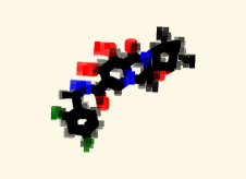 C[C@@H](NC(=O)C1=CN2C[C@H]3OC4CC([C@H]5C[C@@H]45)N3C(=O)C2=C(O)C1O)c1ccc(F)cc1F